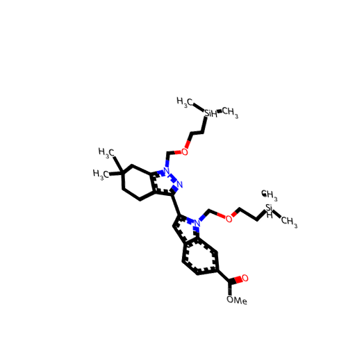 COC(=O)c1ccc2cc(-c3nn(COCC[SiH](C)C)c4c3CCC(C)(C)C4)n(COCC[SiH](C)C)c2c1